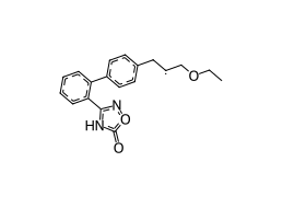 CCOC[CH]Cc1ccc(-c2ccccc2-c2noc(=O)[nH]2)cc1